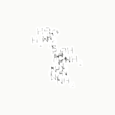 Nc1ncnc2c1ncn2[C@@H]1O[C@H](CSCC[C@H](N)C(=O)O)[C@@H](O)[C@H]1N